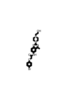 Cc1nc(N2CCN(CCO)CC2)nc2ccc(NC(=O)COc3ccc(Br)cc3)cc12